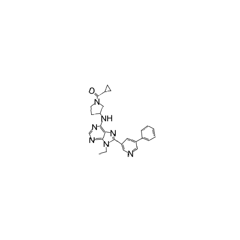 CCn1c(-c2cncc(-c3ccccc3)c2)nc2c(NC3CCN(C(=O)C4CC4)C3)ncnc21